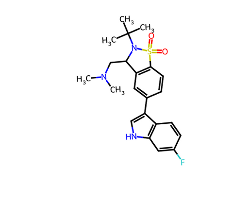 CN(C)CC1c2cc(-c3c[nH]c4cc(F)ccc34)ccc2S(=O)(=O)N1C(C)(C)C